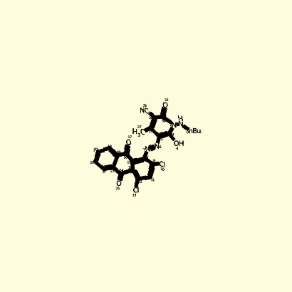 CCCCNn1c(O)c(/N=N/c2c(Cl)cc(Cl)c3c2C(=O)c2ccccc2C3=O)c(C)c(C#N)c1=O